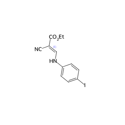 CCOC(=O)/C(C#N)=C/Nc1ccc(I)cc1